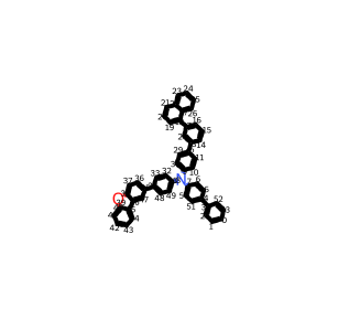 c1ccc(-c2ccc(N(c3ccc(-c4cccc(-c5cccc6ccccc56)c4)cc3)c3ccc(-c4ccc5oc6ccccc6c5c4)cc3)cc2)cc1